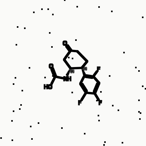 O=C1CC[C@H](c2cc(F)c(F)cc2F)[C@H](NC(=O)O)C1